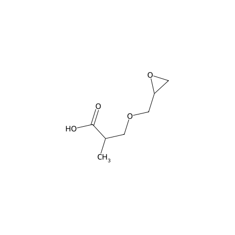 CC(COCC1CO1)C(=O)O